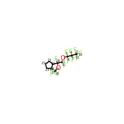 F[C](OC(F)(F)C(F)(F)C(F)(F)F)C(F)(OC(F)(F)F)C1C[CH]CC1